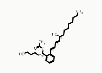 CCCCCCCC[C@H](O)/C=C/C=C/c1ccccc1[C@H](CCCCO)OC(C)=O